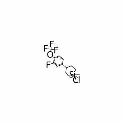 C[Si]1(Cl)CCC(c2ccc(OC(F)(F)F)c(F)c2)CC1